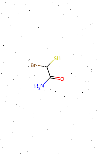 NC(=O)C(S)Br